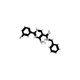 Nc1nc(-c2cccc(F)c2)ncc1C(=O)NCc1ccccc1